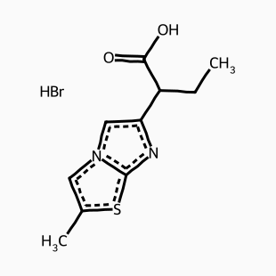 Br.CCC(C(=O)O)c1cn2cc(C)sc2n1